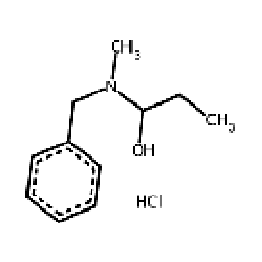 CCC(O)N(C)Cc1ccccc1.Cl